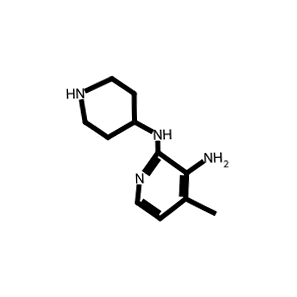 Cc1ccnc(NC2CCNCC2)c1N